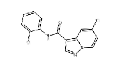 O=C(Nc1ccccc1Cl)c1cnn2ccc(Cl)cc12